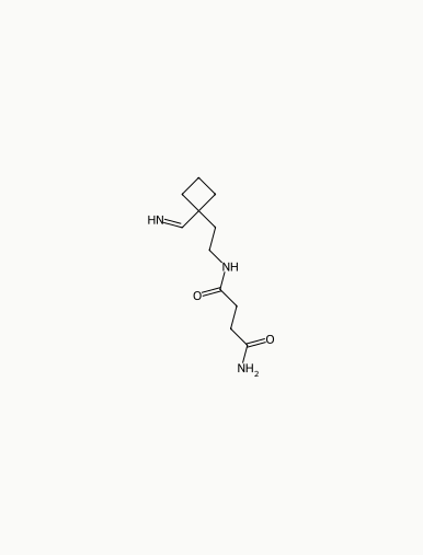 N=CC1(CCNC(=O)CCC(N)=O)CCC1